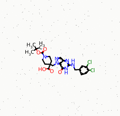 CC(C)(C)OC(=O)N1CCC(Cn2ncc3nc(NCc4ccc(Cl)c(Cl)c4)[nH]c(=O)c32)(C(=O)O)CC1